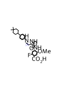 COc1cc(C(=O)O)c(F)cc1NS(=O)(=O)C(=N)/C=C\Nc1ccc(C2CCC(C)(C)CC2)cc1